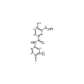 CCCSc1cc(C(=O)Nc2ccc(F)c(Cl)c2)ccc1F